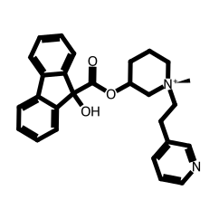 C[N@+]1(CCc2cccnc2)CCCC(OC(=O)C2(O)c3ccccc3-c3ccccc32)C1